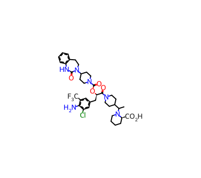 CC(C1CCN(C(=O)[C@@H](Cc2cc(Cl)c(N)c(C(F)(F)F)c2)OC(=O)N2CCC(N3CCc4ccccc4NC3=O)CC2)CC1)N1CCCC[C@@H]1C(=O)O